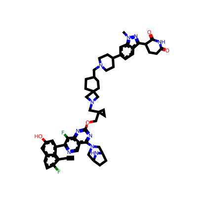 C#Cc1c(F)ccc2cc(O)cc(-c3ncc4c(N5CC6CCC(C5)N6)nc(OCC5(CN6CC7(CCC(CN8CCC(c9ccc%10c(C%11CCC(=O)NC%11=O)nn(C)c%10c9)CC8)CC7)C6)CC5)nc4c3F)c12